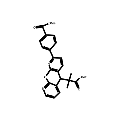 COC(=O)c1ccc(-c2ccc3c(n2)Oc2ncccc2C3C(C)(C)C(=O)OC)cc1